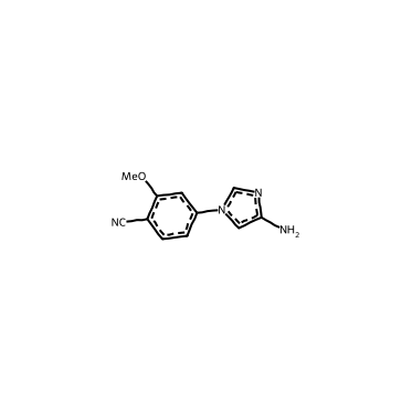 COc1cc(-n2cnc(N)c2)ccc1C#N